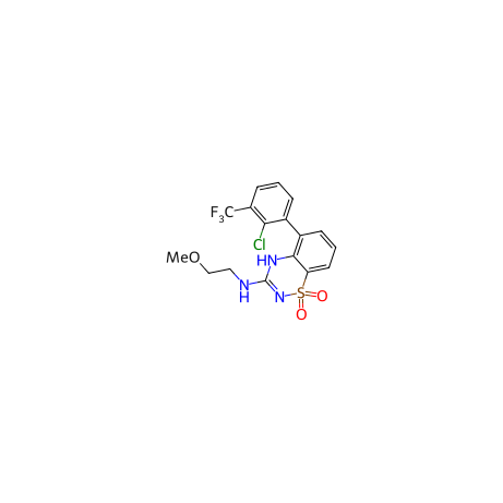 COCCNC1=NS(=O)(=O)c2cccc(-c3cccc(C(F)(F)F)c3Cl)c2N1